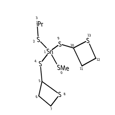 C[S][Sn]([S]C(C)C)([S]C1CCS1)[S]C1CCS1